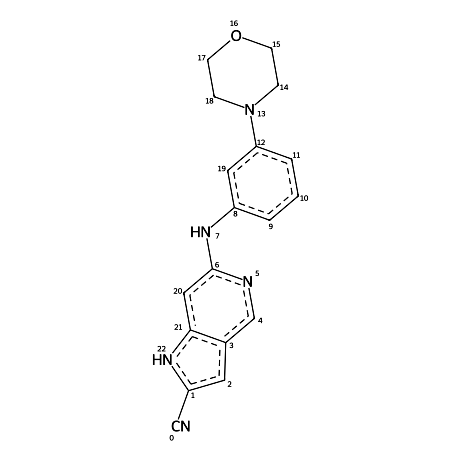 N#Cc1cc2cnc(Nc3cccc(N4CCOCC4)c3)cc2[nH]1